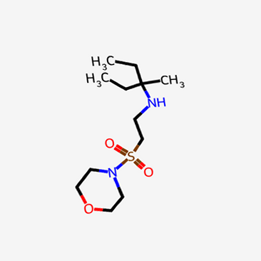 CCC(C)(CC)NCCS(=O)(=O)N1CCOCC1